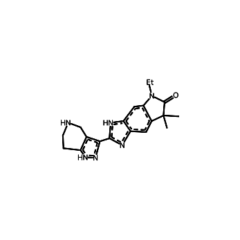 CCN1C(=O)C(C)(C)c2cc3nc(-c4n[nH]c5c4CNCC5)[nH]c3cc21